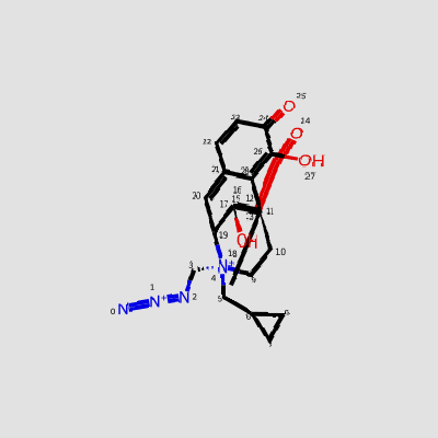 [N-]=[N+]=NC[N@@+]1(CC2CC2)CC[C@]23CC(=O)CC[C@@]2(O)C1C=C1C=CC(=O)C(O)=C13